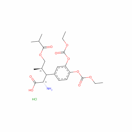 CCOC(=O)Oc1ccc(C([C@H](N)C(=O)O)[C@@H](C)COC(=O)C(C)C)cc1OC(=O)OCC.Cl